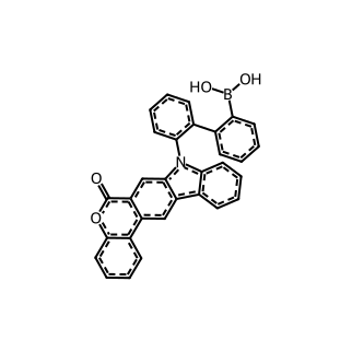 O=c1oc2ccccc2c2cc3c4ccccc4n(-c4ccccc4-c4ccccc4B(O)O)c3cc12